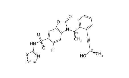 C[C@H](c1ccccc1C#C[C@@H](C)O)n1c(=O)oc2cc(S(=O)(=O)Nc3ncns3)c(F)cc21